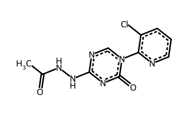 CC(=O)NNc1ncn(-c2ncccc2Cl)c(=O)n1